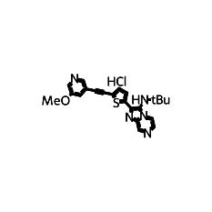 COc1cncc(C#Cc2ccc(-c3nc4cnccn4c3NC(C)(C)C)s2)c1.Cl